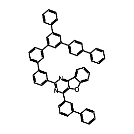 c1ccc(-c2ccc(-c3cc(-c4ccccc4)cc(-c4cccc(-c5cccc(-c6nc(-c7cccc(-c8ccccc8)c7)c7oc8ccccc8c7n6)c5)c4)c3)cc2)cc1